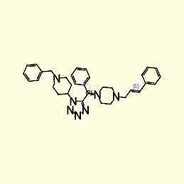 C(=C\c1ccccc1)/CN1CCN([C@H](c2ccccc2)c2nnnn2C2CCN(Cc3ccccc3)CC2)CC1